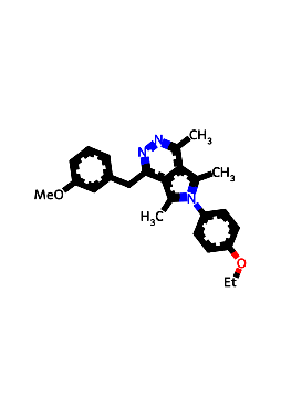 CCOc1ccc(-n2c(C)c3c(C)nnc(Cc4cccc(OC)c4)c3c2C)cc1